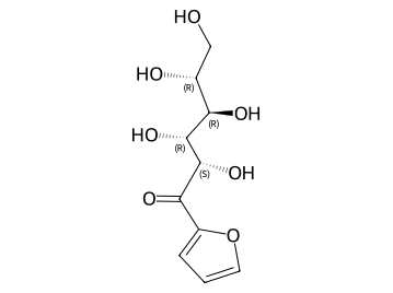 O=C(c1ccco1)[C@@H](O)[C@H](O)[C@H](O)[C@H](O)CO